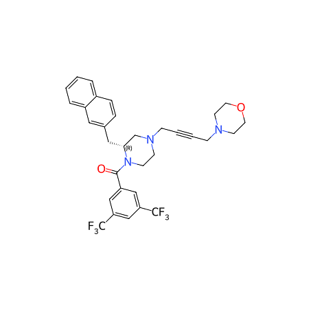 O=C(c1cc(C(F)(F)F)cc(C(F)(F)F)c1)N1CCN(CC#CCN2CCOCC2)C[C@H]1Cc1ccc2ccccc2c1